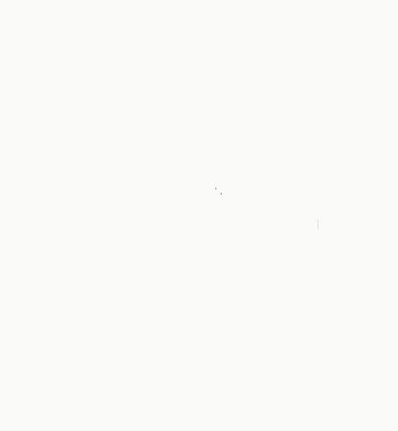 Cc1ccc(NCCCl)cc1